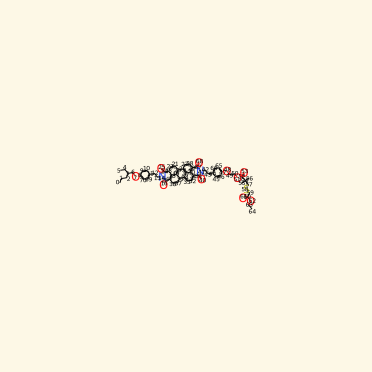 CCCC(CC)COc1ccc(CCN2C(=O)C3=C4C5=C(C=CC4C2=O)c2ccc4c6c(ccc(c26)C5C=C3)C(=O)N(CCc2ccc(OCCOC(=O)C(C)(C)CSCC(=O)OCC)cc2)C4=O)cc1